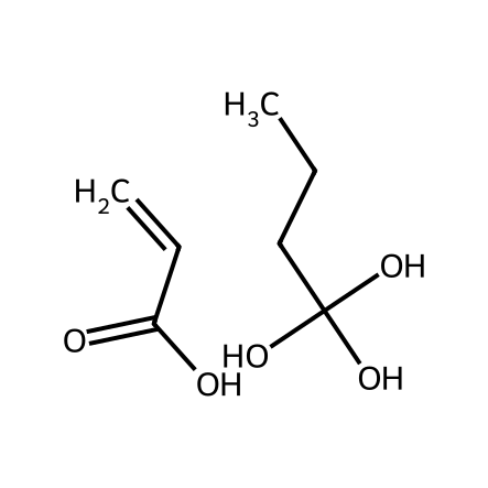 C=CC(=O)O.CCCC(O)(O)O